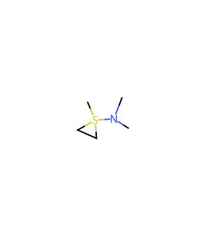 CN(C)S1(C)CC1